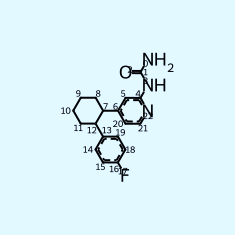 NC(=O)Nc1cc(C2CCCCC2c2ccc(F)cc2)ccn1